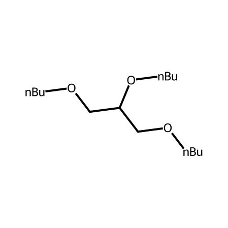 CCCCOCC(COCCCC)OCCCC